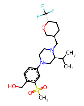 CC(C)[C@H]1CN(c2ccc(CO)c(S(C)(=O)=O)c2)CCN1C[C@@H]1CC[C@@H](C(F)(F)F)OC1